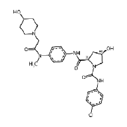 CN(C(=O)CN1CCC(O)CC1)c1ccc(NC(=O)[C@H]2C[C@@H](O)CN2C(=O)Nc2ccc(Cl)cc2)cc1